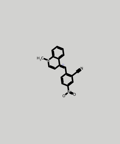 CN1C=C/C(=C\c2ccc([N+](=O)[O-])cc2C#N)c2ccccc21